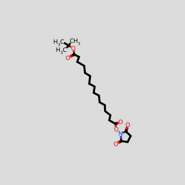 CC(C)(C)OC(=O)CCCCCCCCCCCCCCC(=O)ON1C(=O)CCC1=O